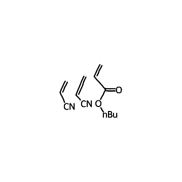 C=CC#N.C=CC#N.C=CC(=O)OCCCC